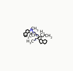 C=CCC1(C)C(/C=C/C=C2/N(C)c3ccc4ccccc4c3C2(C)C)=C(/C=C/C)c2ccc3ccccc3c21